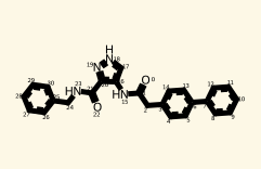 O=C(Cc1ccc(-c2ccccc2)cc1)Nc1c[nH]nc1C(=O)NCc1ccccc1